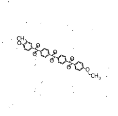 CCOc1ccc(S(=O)(=O)c2ccc(S(=O)(=O)c3ccc(S(=O)(=O)c4ccc(OC)cc4)cc3)cc2)cc1